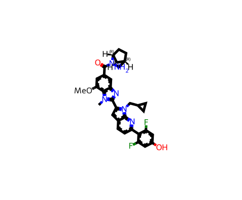 COc1cc(C(=O)N2C[C@H]3CC[C@@H]2[C@@H]3N)cc2nc(-c3cc4ccc(-c5c(F)cc(O)cc5F)nc4n3CC3CC3)n(C)c12